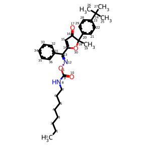 CCCCCCCCNC(=O)ON=C(C1=CC(=O)C(C)(c2ccc(C(C)(C)C)cc2)O1)c1ccccc1